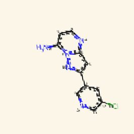 Nc1ccnc2cc(-c3cncc(Cl)c3)nn12